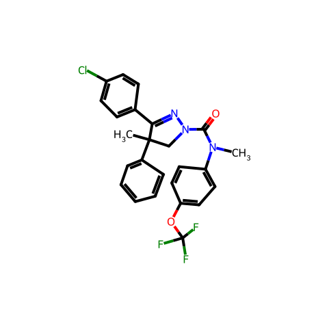 CN(C(=O)N1CC(C)(c2ccccc2)C(c2ccc(Cl)cc2)=N1)c1ccc(OC(F)(F)F)cc1